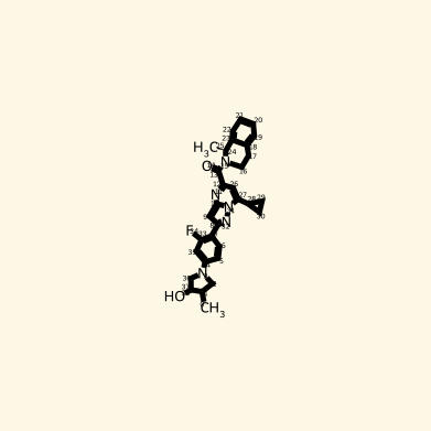 CC1CN(c2ccc(-c3cc4nc(C(=O)N5CCc6ccccc6[C@H]5C)cc(C5CC5)n4n3)c(F)c2)CC1O